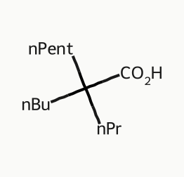 CCCCCC(CCC)(CCCC)C(=O)O